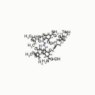 CCn1nc(C)cc1C(=O)Nc1nc2cc(C(N)=O)cc(OC)c2n1C/C=C/Cn1c(NC(=O)c2cc(C)nn2CC)nc2cc(C(N)=O)cc(OCC#CC3CCN(S(=O)(=O)N4CCNCC4)CC3)c21.Cl